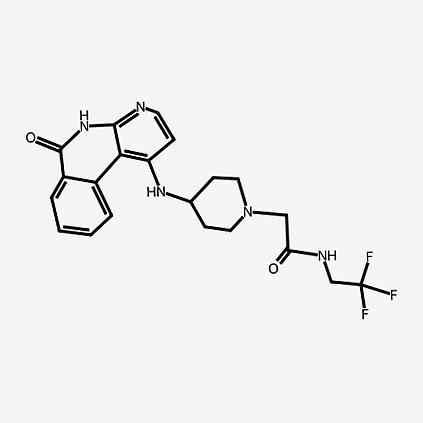 O=C(CN1CCC(Nc2ccnc3[nH]c(=O)c4ccccc4c23)CC1)NCC(F)(F)F